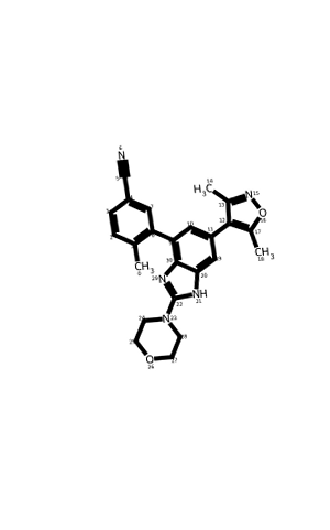 Cc1ccc(C#N)cc1-c1cc(-c2c(C)noc2C)cc2[nH]c(N3CCOCC3)nc12